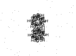 O=P(O)(O)O[C@H]1[C@H](OP(=O)(O)O)[C@@H](OP(=O)(O)O)[C@H](OP(=O)(O)O)[C@@H](OP(=O)(O)O)[C@H]1OP(=O)(O)O.O=P(O)(O)O[C@H]1[C@H](OP(=O)(O)O)[C@@H](OP(=O)(O)O)[C@H](OP(=O)(O)O)[C@@H](OP(=O)(O)O)[C@H]1OP(=O)(O)O